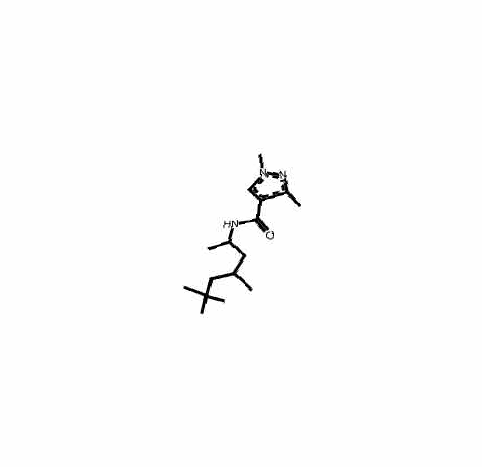 Cc1nn(C)cc1C(=O)NC(C)CC(C)CC(C)(C)C